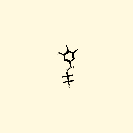 CC(C)(O)C(C)(C)OBc1cc(N)c(F)c(F)c1